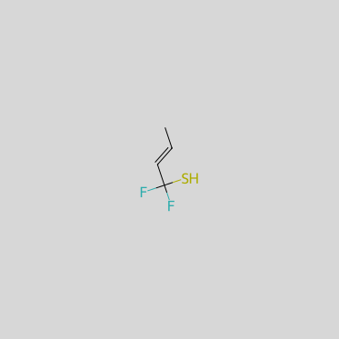 CC=CC(F)(F)S